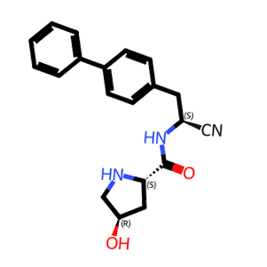 N#C[C@H](Cc1ccc(-c2ccccc2)cc1)NC(=O)[C@@H]1C[C@@H](O)CN1